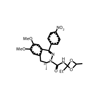 CCC1(NC(=O)N2N=C(c3ccc([N+](=O)[O-])cc3)c3cc(OC)c(OC)cc3C[C@H]2C)OC(C)O1